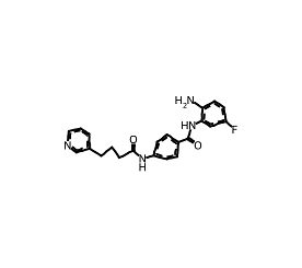 Nc1ccc(F)cc1NC(=O)c1ccc(NC(=O)CCCc2cccnc2)cc1